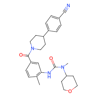 Cc1ccc(C(=O)N2CCC(c3ccc(C#N)cc3)CC2)cc1NC(=O)N(C)C1CCOCC1